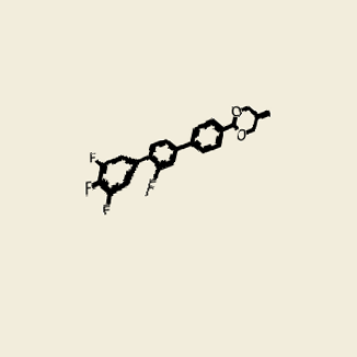 C=C1COC(c2ccc(-c3ccc(-c4cc(F)c(F)c(F)c4)c(F)c3)cc2)OC1